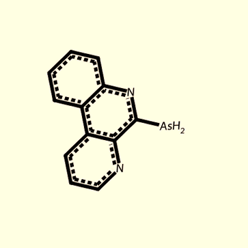 [AsH2]c1nc2ccccc2c2cccnc12